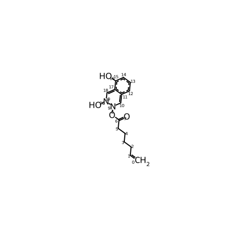 C=CCCCCC(=O)ON1C=c2cccc(O)c2=CN1O